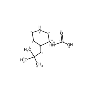 CC(C)(C)CC1CCNCC1NC(=O)O